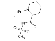 CC(C)N1CCCCC1C(=O)NS(C)(=O)=O